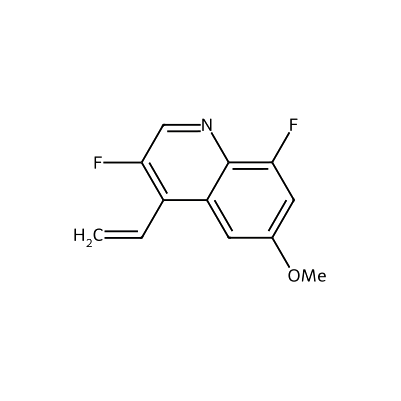 C=Cc1c(F)cnc2c(F)cc(OC)cc12